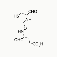 O=C[C@H](CS)NCON[C@H](C=O)CCC(=O)O